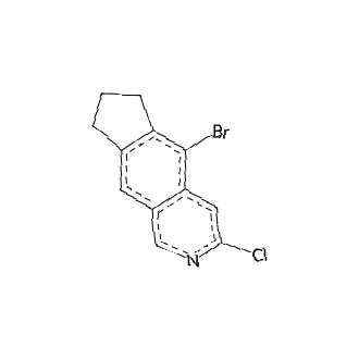 Clc1cc2c(Br)c3c(cc2cn1)CCC3